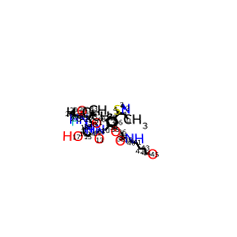 Cc1ncsc1-c1ccc(CNC(=O)[C@@H]2C[C@@H](O)CN2C(=O)C(NC(=O)C2(F)CC2)C(C)(C)C)c(OCC(=O)NCCCCC=O)c1